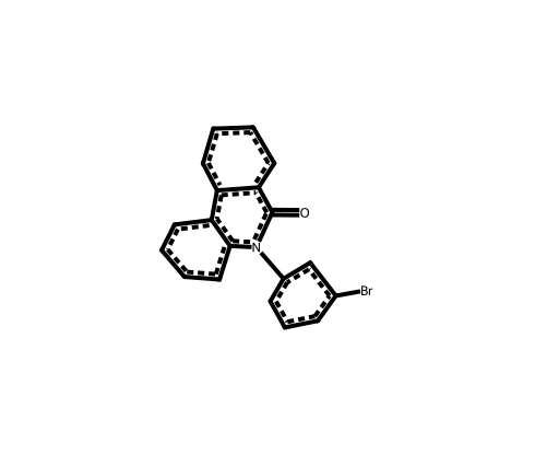 O=c1c2ccccc2c2ccccc2n1-c1cccc(Br)c1